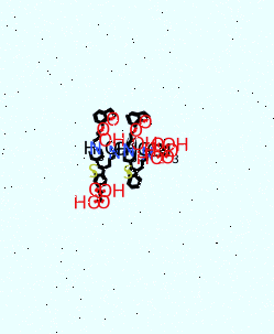 CN(C)CCCc1c(C2CCN(CC(O)COc3cccc4ccoc34)CC2)sc2ccccc12.CN(C)CCCc1c(C2CCN(C[C@H](O)COc3cccc4ccoc34)CC2)sc2ccccc12.O.O=C(O)C(=O)O.O=C(O)C(=O)O